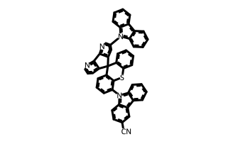 N#Cc1ccc2c(c1)c1ccccc1n2-c1cccc2c1Sc1ccccc1C21c2cccnc2-c2ncc(-n3c4ccccc4c4ccccc43)cc21